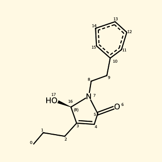 CCCC1=CC(=O)N(CCc2ccccc2)[C@@H]1O